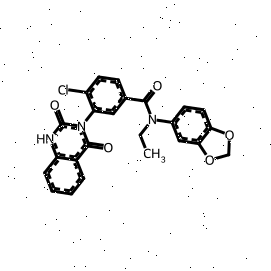 CCN(C(=O)c1ccc(Cl)c(-n2c(=O)[nH]c3ccccc3c2=O)c1)c1ccc2c(c1)OCO2